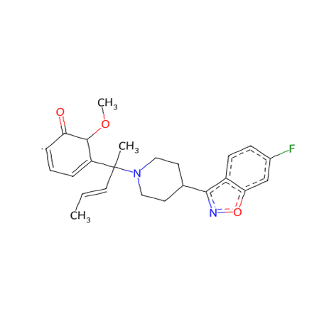 CC=CC(C)(C1=CC=[C]C(=O)C1OC)N1CCC(c2noc3cc(F)ccc23)CC1